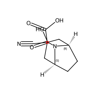 N#CC1(C(=O)O)C[C@H]2CC[C@@H](C1)N2C(=O)O